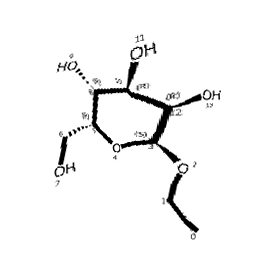 CCO[C@H]1O[C@H](CO)[C@H](O)[C@@H](O)[C@H]1O